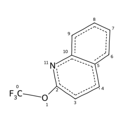 FC(F)(F)Oc1c[c]c2ccccc2n1